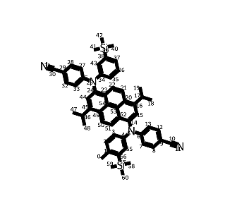 Cc1ccc(N(c2ccc(C#N)cc2)c2cc(C(C)C)c3ccc4c(N(c5ccc(C#N)cc5)c5cccc([Si](C)(C)C)c5)cc(C(C)C)c5ccc2c3c54)cc1[Si](C)(C)C